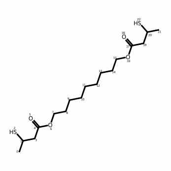 CC(S)CC(=O)OCCCCCCCCCOC(=O)CC(C)S